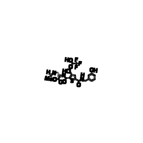 COC(=O)[C@H](CN)NC(=O)c1sc(C(=O)NCc2cccc(O)c2)cc1Cl.O=C(O)C(F)(F)F